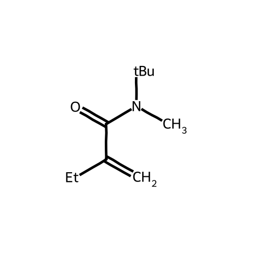 C=C(CC)C(=O)N(C)C(C)(C)C